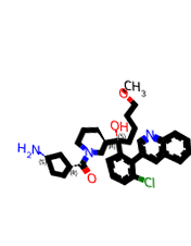 COCCCC[C@@](O)(c1cccc(Cl)c1-c1cnc2ccccc2c1)[C@@H]1CCCN(C(=O)[C@@H]2CC[C@H](N)C2)C1